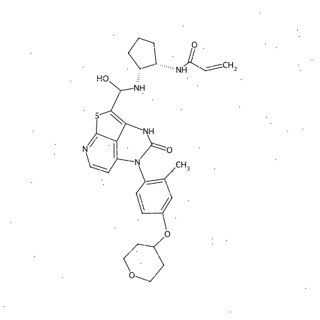 C=CC(=O)N[C@H]1CCC[C@H]1NC(O)c1sc2nccc3c2c1NC(=O)N3c1ccc(OC2CCOCC2)cc1C